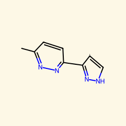 Cc1ccc(-c2[c]c[nH]n2)nn1